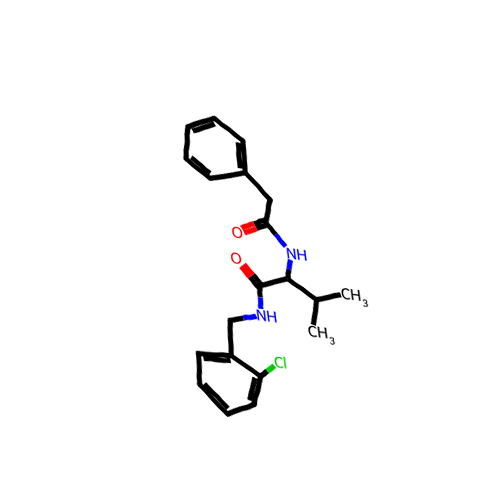 CC(C)C(NC(=O)Cc1ccccc1)C(=O)NCc1ccccc1Cl